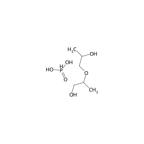 CC(O)COC(C)CO.O=[PH](O)O